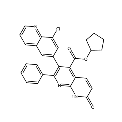 O=C(OC1CCCC1)c1c(-c2cc(Cl)c3ncccc3c2)c(-c2ccccc2)nc2[nH]c(=O)ccc12